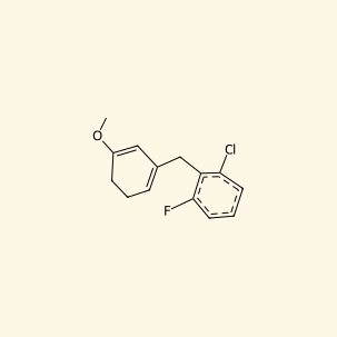 COC1=CC(Cc2c(F)cccc2Cl)=CCC1